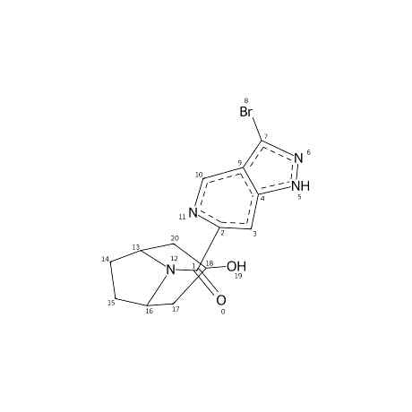 O=C(c1cc2[nH]nc(Br)c2cn1)N1C2CCC1CC(O)C2